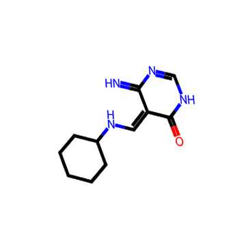 N=C1N=CNC(=O)/C1=C/NC1CCCCC1